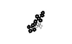 CC1(C)c2cc(-c3c4ccccc4c(-c4ccc5ccccc5c4)c4ccccc34)ccc2-c2ccc([Si](c3ccccc3)(c3ccccc3)c3ccccc3)cc21